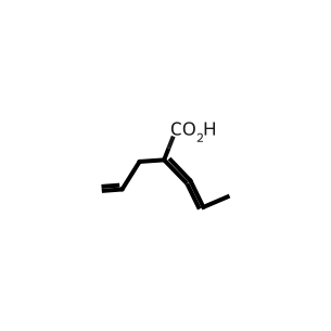 C=CCC(=C=CC)C(=O)O